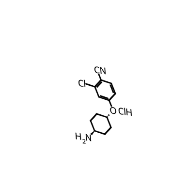 Cl.N#Cc1ccc(O[C@H]2CC[C@H](N)CC2)cc1Cl